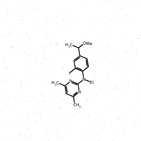 CCN(c1nc(C)cc(C)n1)c1ccc(C(C)OC)cc1I